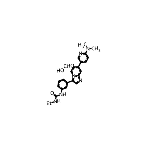 CCNC(=O)Nc1cccc(-c2cnc3cc(-c4ccc(N(C)C)nc4)ccn23)c1.O=CO